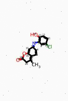 CC1=C2C=CC(=Nc3cc(Cl)ccc3O)C=C2OC(=O)C1